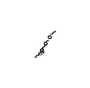 CCCCCOc1ccc(CCC2=CCC(CC[C@H]3CC[C@H](CCCCC)CC3)CC2)cc1F